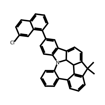 CC1(C)C2=CC=C3c4cc(-c5cccc6ccc(Cl)cc56)ccc4N4c5ccccc5-c5cccc1c5C2C34